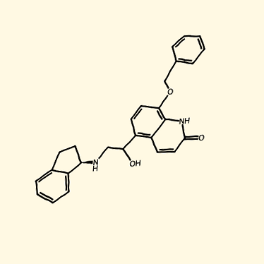 O=c1ccc2c(C(O)CN[C@@H]3CCc4ccccc43)ccc(OCc3ccccc3)c2[nH]1